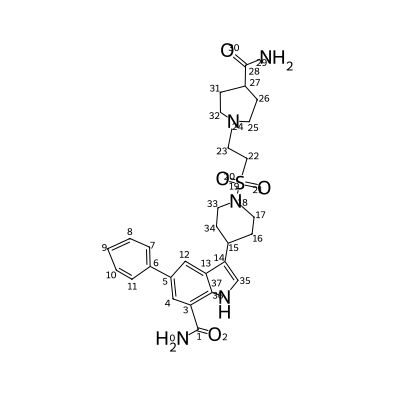 NC(=O)c1cc(-c2ccccc2)cc2c(C3CCN(S(=O)(=O)CCN4CCC(C(N)=O)CC4)CC3)c[nH]c12